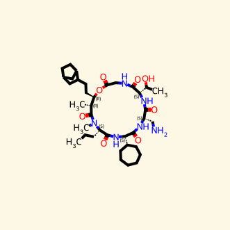 CCC[C@H]1C(=O)N[C@@H](C2CCCCCC2)C(=O)N[C@@H](CN)C(=O)N[C@@H](C(C)O)C(=O)NCC(=O)O[C@H](CCC2CC3CCC2C3)[C@@H](C)C(=O)N1C